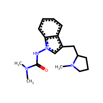 CN(C)C(=O)Nn1cc(CC2CCCN2C)c2ccccc21